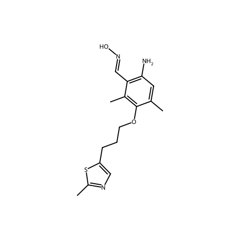 Cc1ncc(CCCOc2c(C)cc(N)c(C=NO)c2C)s1